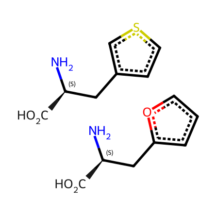 N[C@@H](Cc1ccco1)C(=O)O.N[C@@H](Cc1ccsc1)C(=O)O